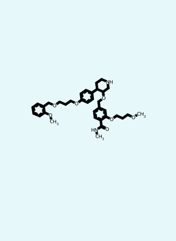 CNC(=O)c1ccc(COC2CNCCC2c2ccc(OCCCOCc3ccccc3OC)cc2)cc1OCCCOC